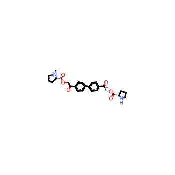 CN1CCC[C@H]1C(=O)OCC(=O)c1ccc(-c2ccc(C(=O)COC(=O)[C@@H]3CCCN3)cc2)cc1